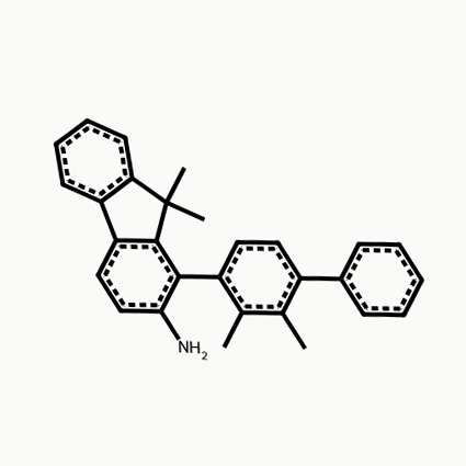 Cc1c(-c2ccccc2)ccc(-c2c(N)ccc3c2C(C)(C)c2ccccc2-3)c1C